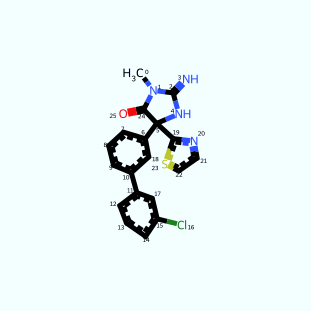 CN1C(=N)NC(c2cccc(-c3cccc(Cl)c3)c2)(c2nccs2)C1=O